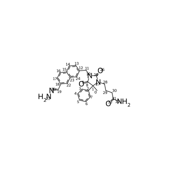 CC1(c2ccccc2)C(=O)N(Cc2ccc3ccc(C=NN)cc3c2)C(=O)N1CCCC(N)=O